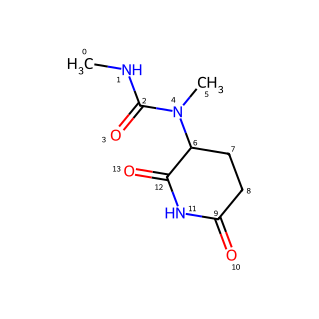 CNC(=O)N(C)C1CCC(=O)NC1=O